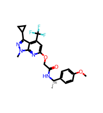 COc1ccc([C@H](C)NC(=O)COc2cc(C(F)(F)F)c3c(C4CC4)nn(C)c3n2)cc1